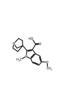 COc1ccc2c(c1)c(C(=O)O)c(C13CCN(CC1)C3)n2C